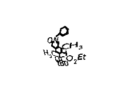 CCOC(=O)[C@@H](OC(C)(C)C)c1c(C)c2c(c(C)c1I)CN(CC1CCCCC1)C(=O)C2